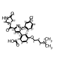 CN(C)CCCOc1cccc(-c2cc(C(=O)N3CNC(=O)C3)nn2-c2cccc(Cl)c2)c1.O=CO